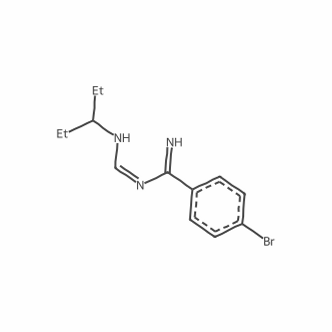 CCC(CC)N/C=N\C(=N)c1ccc(Br)cc1